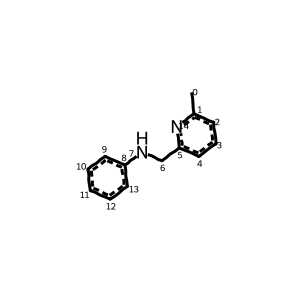 Cc1cccc(CNc2ccccc2)n1